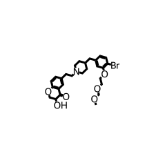 COCOCCOc1cc(CC2CCN(CCc3ccc4c(c3)C(=O)C(O)CO4)CC2)ccc1Br